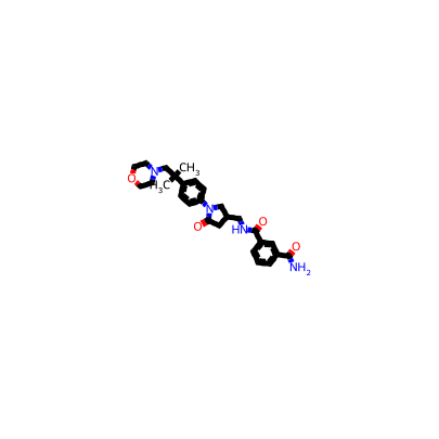 CC(C)(CN1CCOCC1)c1ccc(N2CC(CNC(=O)c3cccc(C(N)=O)c3)CC2=O)cc1